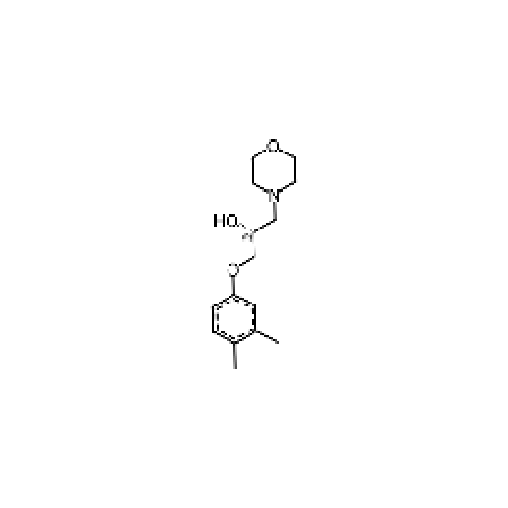 Cc1ccc(OC[C@H](O)CN2CCOCC2)cc1C